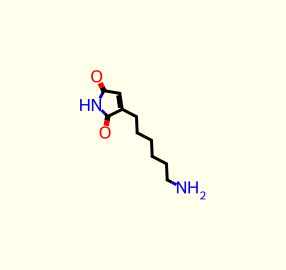 NCCCCCCC1=CC(=O)NC1=O